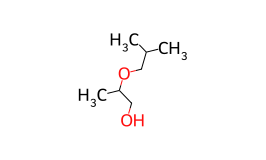 CC(C)COC(C)CO